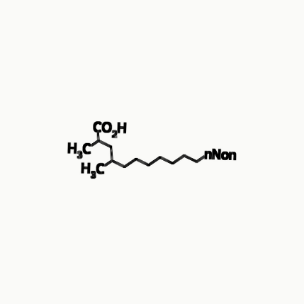 CCCCCCCCCCCCCCCCC(C)CC(C)C(=O)O